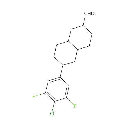 O=CC1CCC2CC(c3cc(F)c(Cl)c(F)c3)CCC2C1